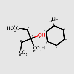 C1CCCCC1.O=C(O)CC(O)(CC(=O)O)C(=O)O.[LiH]